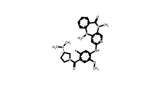 COc1cc(C(=O)N2CC[C@H](N(C)C)C2)c(F)cc1Nc1cc2c(cn1)N(C)C(=O)c1ccccc1N2C